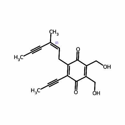 CC#CC1=C(C/C=C(/C)C#CC)C(=O)C(CO)=C(CO)C1=O